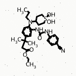 CCCN(c1ccc(C(C)(C)CC(=O)OCC)cc1NC(=O)Nc1ccc(C#N)cc1)C1CCS(O)(O)CC1